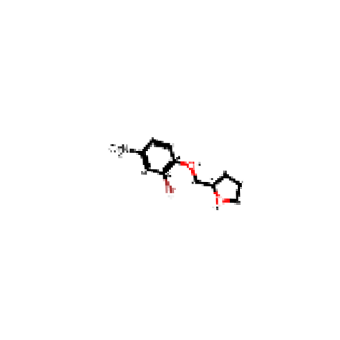 O=[N+]([O-])c1ccc(OCC2CCCO2)c(Br)c1